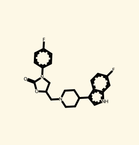 O=C1OC(CN2CCC(c3c[nH]c4cc(F)ccc34)CC2)CN1c1ccc(F)cc1